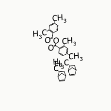 CC1CC2C=CC1C2.CC1CC2C=CC1C2.Cc1ccc(C(=O)OC(=O)c2ccc(C)cc2C)c(C)c1